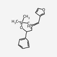 C[Si](C)(C)OC(CN=Cc1ccoc1)c1ccccc1